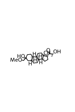 COC[C@@]1(O)CC[C@H]2[C@@H](CC[C@@H]3[C@@H]2CC[C@]2(C)[C@@H](C(=O)CO)CC[C@@H]32)C1